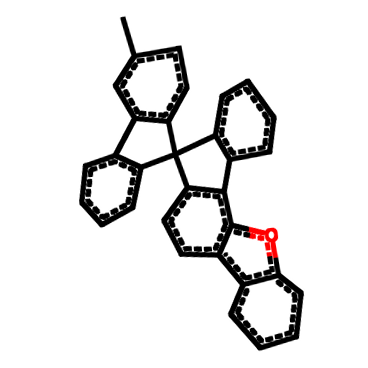 Cc1ccc2c(c1)-c1ccccc1C21c2ccccc2-c2c1ccc1c2oc2ccccc21